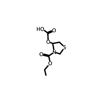 CCOC(=O)N1CSCC1OC(=O)O